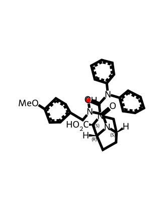 COc1ccc(CN(C)C(=O)N2[C@H]3CC[C@@H]2[C@@H](C(=O)O)N(C(=O)N(c2ccccc2)c2ccccc2)C3)cc1